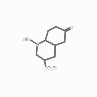 CCCN1CC(C(=O)OCC)CC2CC(=O)CCC21